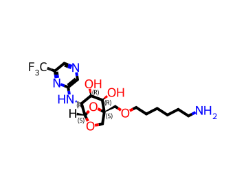 NCCCCCCOC[C@@]12CO[C@@H](O1)[C@H](Nc1cncc(C(F)(F)F)n1)[C@@H](O)[C@H]2O